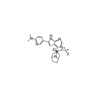 CN(C)c1ccc(-c2cc3c(N4CC5CCC(C4)N5C(=O)C4C[C@H]4F)ncnc3[nH]2)cn1